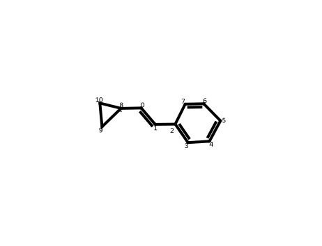 C(=Cc1ccccc1)[C]1CC1